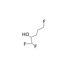 OC(CCCF)C(F)F